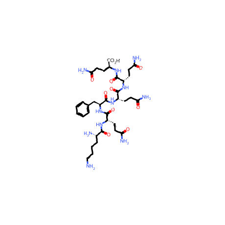 NCCCC[C@H](N)C(=O)N[C@@H](CCC(N)=O)C(=O)N[C@@H](Cc1ccccc1)C(=O)N[C@@H](CCC(N)=O)C(=O)N[C@@H](CCC(N)=O)C(=O)N[C@@H](CCC(N)=O)C(=O)O